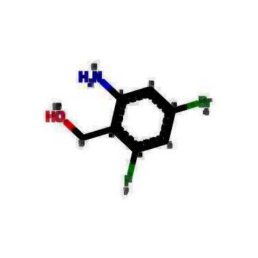 Nc1cc(Br)cc(F)c1CO